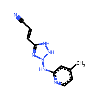 Cc1ccnc(NN2N=C(C=CC#N)NN2)c1